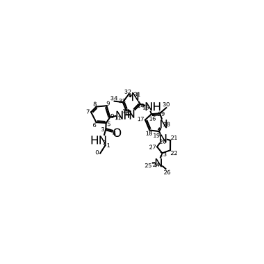 CCNC(=O)c1ccccc1Nc1nc(Nc2ccc(N3CC[C@@H](N(C)C)C3)nc2C)ncc1C